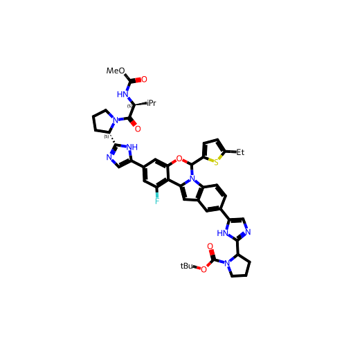 CCc1ccc(C2Oc3cc(-c4cnc([C@@H]5CCCN5C(=O)[C@@H](NC(=O)OC)C(C)C)[nH]4)cc(F)c3-c3cc4cc(-c5cnc(C6CCCN6C(=O)OC(C)(C)C)[nH]5)ccc4n32)s1